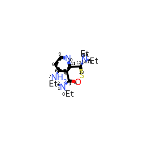 CCN(CC)C(=O)c1c(N)ccnc1C(=S)N(CC)CC